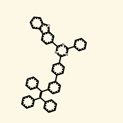 c1ccc(C(=C(c2ccccc2)c2cccc(-c3ccc(-c4nc(-c5ccccc5)nc(-c5ccc6c(c5)oc5ccccc56)n4)cc3)c2)c2ccccc2)cc1